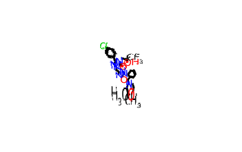 CC1(C)CN(C(=O)c2ccccc2-n2cnc(Cn3nc(-c4ccc(Cl)cc4)n(C[C@H](O)C(F)(F)F)c3=O)n2)CCO1